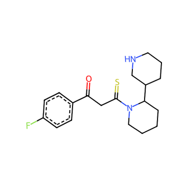 O=C(CC(=S)N1CCCCC1C1CCCNC1)c1ccc(F)cc1